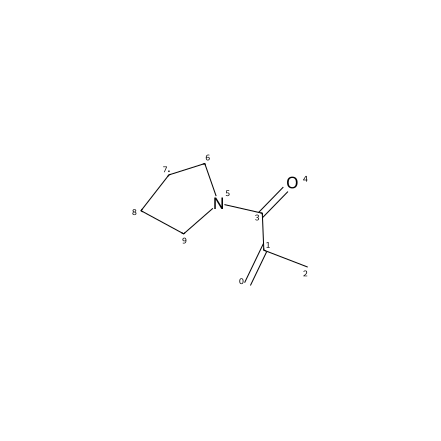 C=C(C)C(=O)N1C[CH]CC1